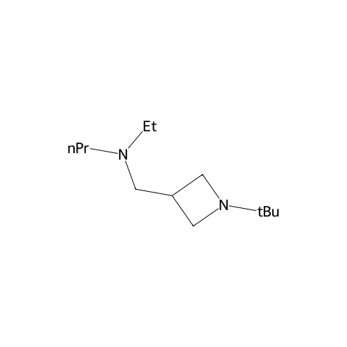 CCCN(CC)CC1CN(C(C)(C)C)C1